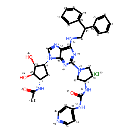 CCC(=O)N[C@H]1C[C@@H](n2cnc3c(NCC(c4ccccc4)c4ccccc4)nc(N4CC[C@@H](NC(=O)Nc5ccncc5)C4)nc32)[C@H](O)[C@@H]1O.Cl